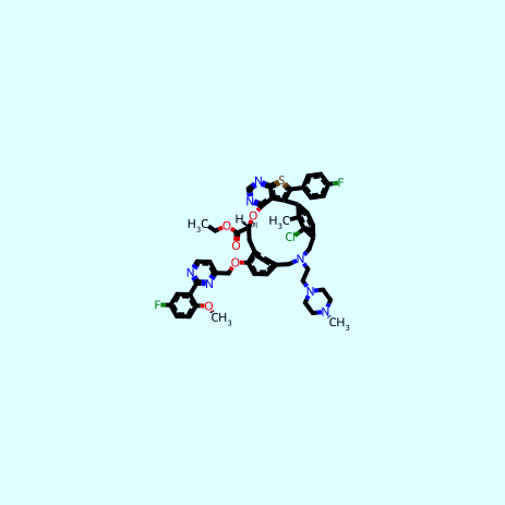 CCOC(=O)[C@H]1Cc2cc(ccc2OCc2ccnc(-c3cc(F)ccc3OC)n2)CN(CCN2CCN(C)CC2)Cc2ccc(c(C)c2Cl)-c2c(-c3ccc(F)cc3)sc3ncnc(c23)O1